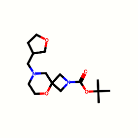 CC(C)(C)OC(=O)N1CC2(CN(CC3CCOC3)CCO2)C1